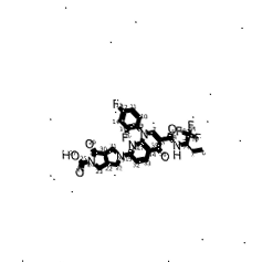 CC[C@@H](NC(=O)c1cn(-c2ccc(F)cc2F)c2nc(N3CC4CN(C(=O)O)C(=O)C4C3)ccc2c1=O)C(F)(F)F